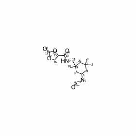 CC1(C)CC(N=C=O)CC(C)(CNC(=O)C2COC(=O)O2)C1